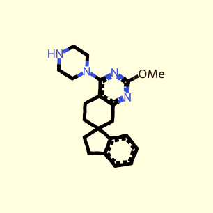 COc1nc2c(c(N3CCNCC3)n1)CCC1(CCc3ccccc31)C2